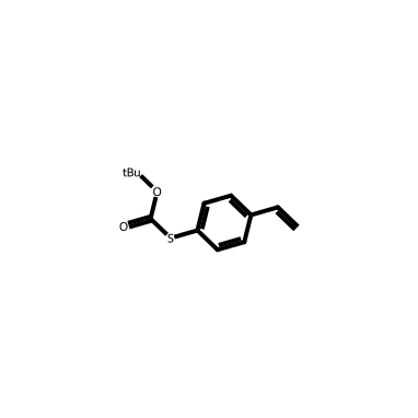 C=Cc1ccc(SC(=O)OC(C)(C)C)cc1